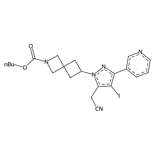 CCCCOC(=O)N1CC2(CC(n3nc(-c4cccnc4)c(I)c3CC#N)C2)C1